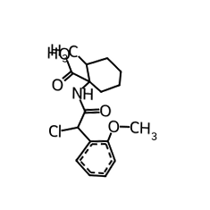 COc1ccccc1C(Cl)C(=O)NC1(C(=O)O)CCCCC1C